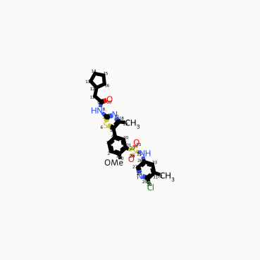 COc1ccc(-c2sc(NC(=O)CC3CCCC3)nc2C)cc1S(=O)(=O)Nc1cnc(Cl)c(C)c1